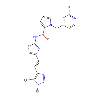 CCn1cnc(C=Cc2csc(NC(=O)c3cccn3Cc3ccnc(F)c3)n2)c1C